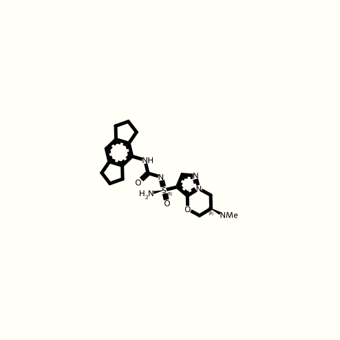 CN[C@H]1COc2c([S@](N)(=O)=NC(=O)Nc3c4c(cc5c3CCC5)CCC4)cnn2C1